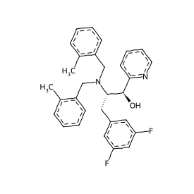 Cc1ccccc1CN(Cc1ccccc1C)[C@@H](Cc1cc(F)cc(F)c1)[C@H](O)c1ccccn1